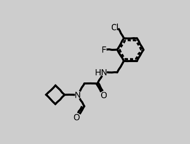 O=CN(CC(=O)NCc1cccc(Cl)c1F)C1CCC1